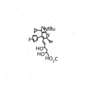 CC(C)(C)n1nc(C2CC2)c2c(-c3ccc(F)cc3)c(/C=C/C(O)CC(O)CC(=O)O)c(C3CC3)nc21